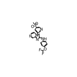 CS(=O)(=O)c1cncc([N+]23C=CN=CC2=NC(Nc2ccc(OC(F)F)cc2)=N3)c1